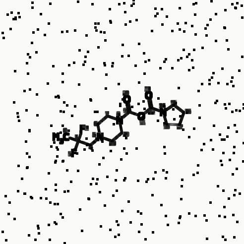 CC(F)(F)CN1CCN(C(=O)OC(=O)N2CCCC2)CC1